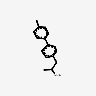 CC(=O)NC(C)Cc1ccc(-c2ccc(C)cc2)cc1